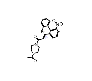 CC(=O)N1CCN(C(=O)/C=C/c2cc[c]c([N+](=O)[O-])c2-c2ccccc2Br)CC1